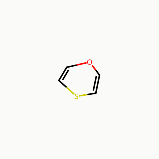 C1=CSC=CO1